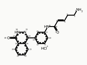 Cl.NCCC=CC(=O)Nc1cccc(-c2n[nH]c(=O)c3ccccc23)c1